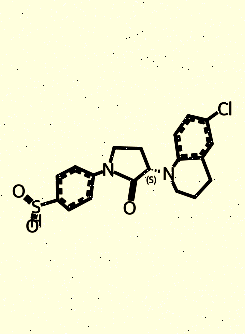 O=C1[C@@H](N2CCCc3cc(Cl)ccc32)CCN1c1ccc([SH](=O)=O)cc1